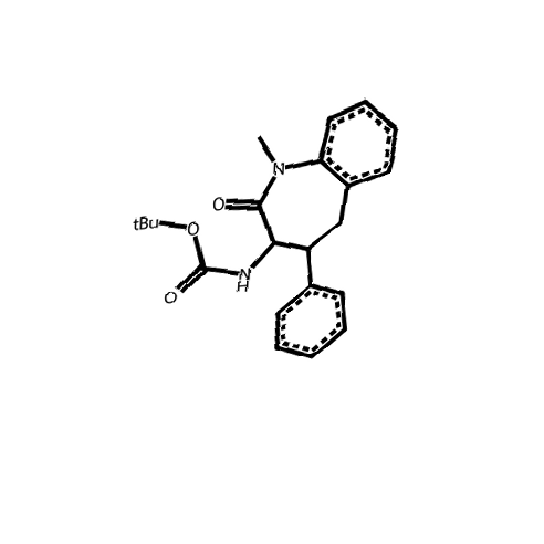 CN1C(=O)C(NC(=O)OC(C)(C)C)C(c2ccccc2)Cc2ccccc21